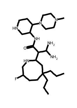 CCCC1(CCC)CCC(F)CNC(C(C(=O)NC2CNCCC2N2CCN(C)CC2)C(N)N)C1